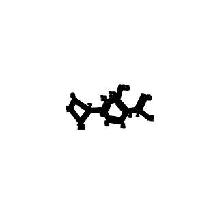 C=C(C)c1ccc(C2CCC2)cc1C